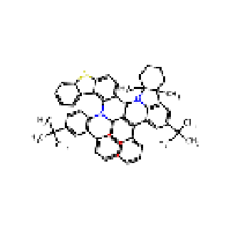 CC(C)(C)c1ccc(N2c3cc4ccccc4c4c3B(c3ccc5sc6ccccc6c5c32)N2c3c-4cc(C(C)(C)C)cc3C3(C)CCCCC23C)c(-c2ccccc2)c1